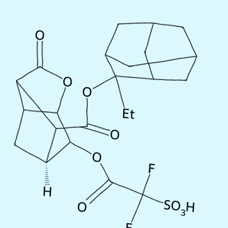 CCC1(OC(=O)C2C3C(=O)OC4C3C[C@@H]2C4OC(=O)C(F)(F)S(=O)(=O)O)C2CC3CC(C2)CC1C3